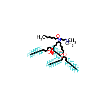 CCCCCCCC(=O)N(CCCN(C)C)C(CCCCCC(=O)OC(CCC(F)(F)C(F)(F)C(F)(F)C(F)(F)C(F)(F)C(F)(F)F)CCC(F)(F)C(F)(F)C(F)(F)C(F)(F)C(F)(F)C(F)(F)F)CCCCCC(=O)OC(CCC(F)(F)C(F)(F)C(F)(F)C(F)(F)C(F)(F)C(F)(F)F)CCC(F)(F)C(F)(F)C(F)(F)C(F)(F)C(F)(F)C(F)(F)F